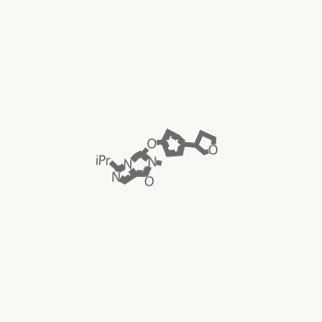 CC(C)c1ncc2c(=O)n(C)c(Oc3ccc(C4CCOC4)cc3)cn12